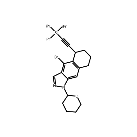 CC(C)[Si](C#CC1CCCc2cc3c(cnn3C3CCCCO3)c(Br)c21)(C(C)C)C(C)C